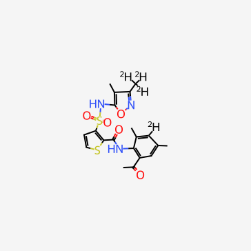 [2H]c1c(C)cc(C(C)=O)c(NC(=O)c2sccc2S(=O)(=O)Nc2onc(C([2H])([2H])[2H])c2C)c1C